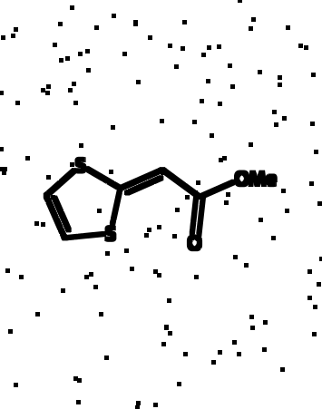 COC(=O)C=C1SC=CS1